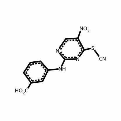 N#CSc1nc(Nc2cccc(C(=O)O)c2)ncc1[N+](=O)[O-]